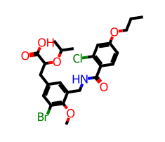 CCCOc1ccc(C(=O)NCc2cc(CC(OC(C)C)C(=O)O)cc(Br)c2OC)c(Cl)c1